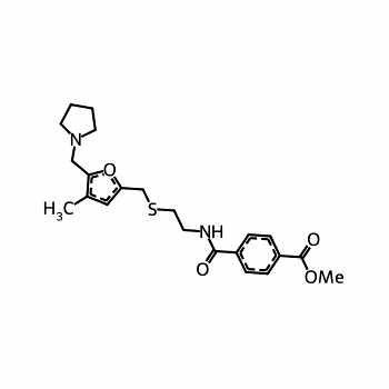 COC(=O)c1ccc(C(=O)NCCSCc2cc(C)c(CN3CCCC3)o2)cc1